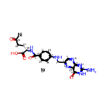 Nc1nc2ncc(CNc3ccc(C(=O)N[C@@H](CC[C](=O)[Ni])C(=O)O)cc3)nc2c(=O)[nH]1.[Ni]